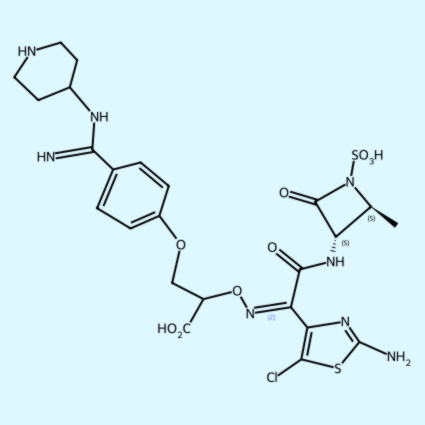 C[C@H]1[C@H](NC(=O)/C(=N\OC(COc2ccc(C(=N)NC3CCNCC3)cc2)C(=O)O)c2nc(N)sc2Cl)C(=O)N1S(=O)(=O)O